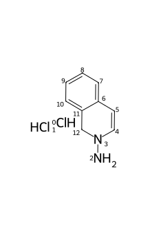 Cl.Cl.NN1C=Cc2ccccc2C1